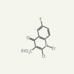 CCOC(=O)c1c(Cl)n(CC)c2ccc(F)cc2c1=O